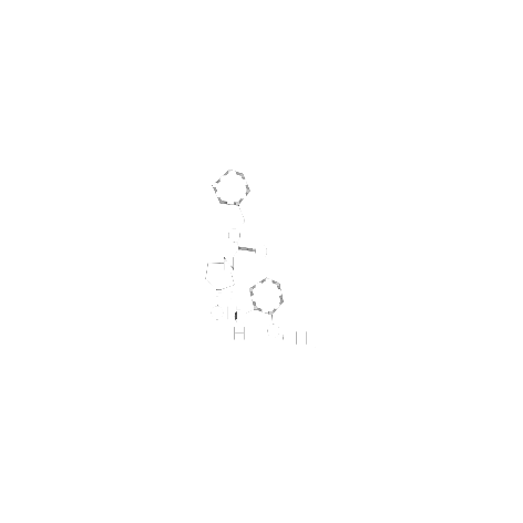 COc1cccc([C@@H]2[C@H](O)CCN2C(=O)OCc2ccccc2)c1C